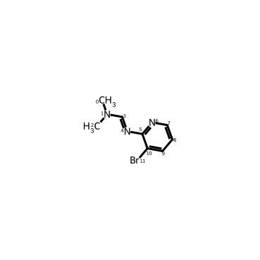 CN(C)C=Nc1ncccc1Br